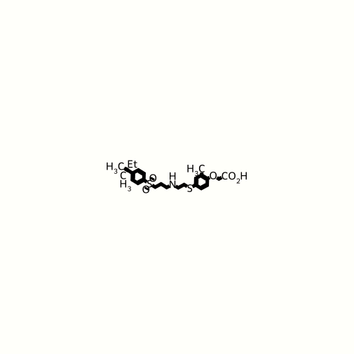 CCC(C)(C)c1ccc(S(=O)(=O)CCCNCCSc2ccc(OCC(=O)O)c(C)c2)cc1